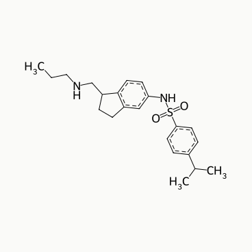 CCCNCC1CCc2cc(NS(=O)(=O)c3ccc(C(C)C)cc3)ccc21